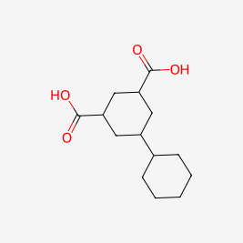 O=C(O)C1CC(C(=O)O)CC(C2CCCCC2)C1